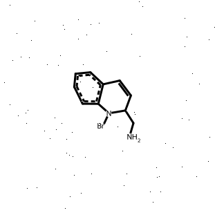 NCC1C=Cc2ccccc2N1Br